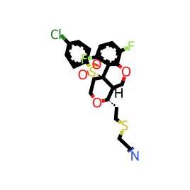 N#CCSCC[C@@H]1OCC[C@@]2(S(=O)(=O)c3ccc(Cl)cc3)c3c(F)ccc(F)c3OC[C@@H]12